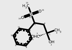 C[C@](O)(C=O)CC(c1ccccc1)S(C)(=O)=O